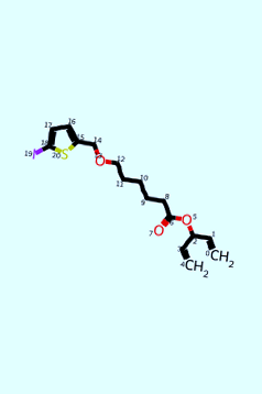 C=CC(C=C)OC(=O)CCCCCOCc1ccc(I)s1